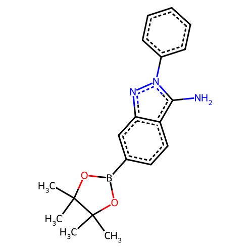 CC1(C)OB(c2ccc3c(N)n(-c4ccccc4)nc3c2)OC1(C)C